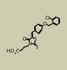 O=C(O)CCCN1C(=O)/C(=C/c2ccc(OCc3ccccc3Cl)cc2)SC1=S